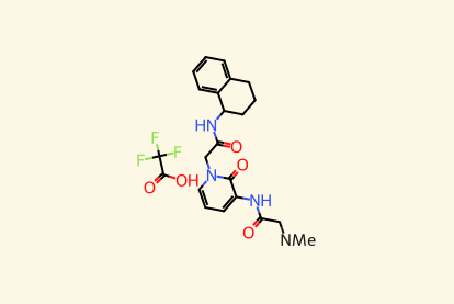 CNCC(=O)Nc1cccn(CC(=O)NC2CCCc3ccccc32)c1=O.O=C(O)C(F)(F)F